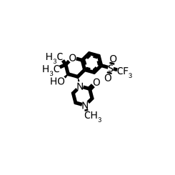 CN1CCN([C@H]2c3cc(S(=O)(=O)C(F)(F)F)ccc3OC(C)(C)[C@@H]2O)C(=O)C1